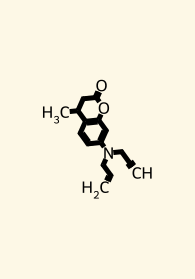 C#CCN(CC=C)c1ccc2c(c1)OC(=O)CC2C